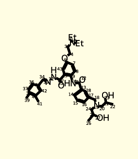 CCN(CC)CCOc1ccc(NC(=O)c2cccc(CN(CC(C)O)CC(C)O)c2)c(C(=O)N/N=C/c2ccc(C)c(C)c2)c1